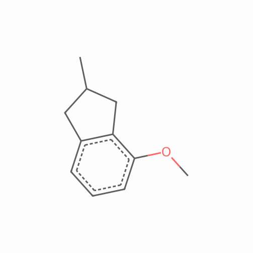 COc1cccc2c1CC(C)C2